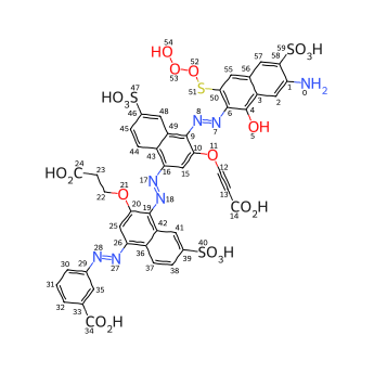 Nc1cc2c(O)c(N=Nc3c(OC#CC(=O)O)cc(N=Nc4c(OCCC(=O)O)cc(N=Nc5cccc(C(=O)O)c5)c5ccc(S(=O)(=O)O)cc45)c4ccc(S(=O)(=O)O)cc34)c(SOOO)cc2cc1S(=O)(=O)O